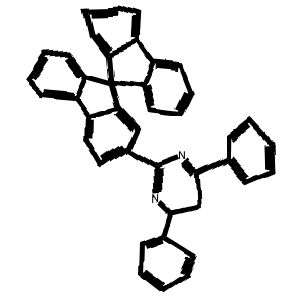 c1ccc(C2=NC(c3ccc4c(c3)C3(c5ccccc5-c5ccccc53)c3ccccc3-4)=NC(c3ccccc3)C2)cc1